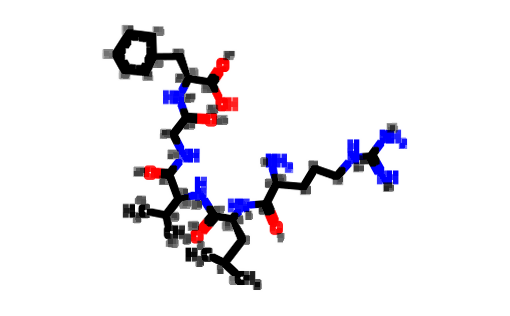 CC(C)C[C@H](NC(=O)[C@@H](N)CCCNC(=N)N)C(=O)N[C@H](C(=O)NCC(=O)N[C@@H](Cc1ccccc1)C(=O)O)C(C)C